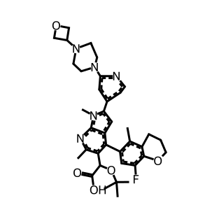 Cc1nc2c(cc(-c3ccnc(N4CCN(C5COC5)CC4)c3)n2C)c(-c2cc(F)c3c(c2C)CCCO3)c1C(OC(C)(C)C)C(=O)O